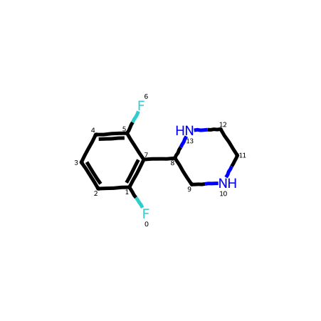 Fc1cccc(F)c1C1CNCCN1